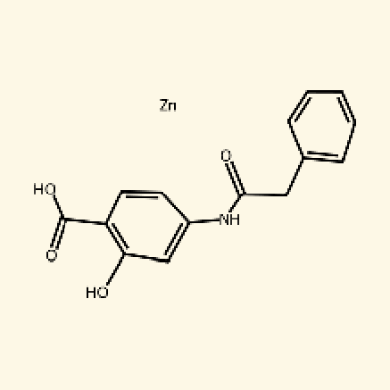 O=C(Cc1ccccc1)Nc1ccc(C(=O)O)c(O)c1.[Zn]